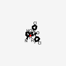 C[C@]1(C(F)(F)F)N(c2ccc(Cl)cc2)C(=O)N(c2ccc(Cl)cc2)C1(O)c1cccc(C#N)c1